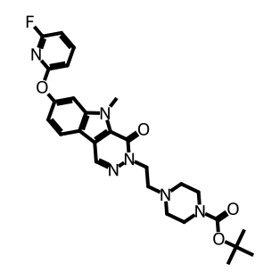 Cn1c2cc(Oc3cccc(F)n3)ccc2c2cnn(CCN3CCN(C(=O)OC(C)(C)C)CC3)c(=O)c21